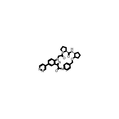 NC(=O)c1nn(CC(=O)N2CCC[C@H]2C(=O)N[C@@H]2CCCC2OCc2ccccc2)c2ccc(-c3ccnnc3)cc12